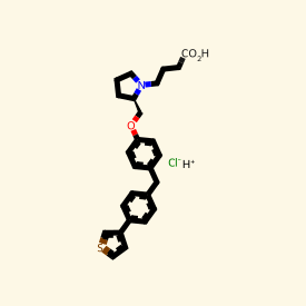 O=C(O)CCCN1CCC[C@@H]1COc1ccc(Cc2ccc(-c3ccsc3)cc2)cc1.[Cl-].[H+]